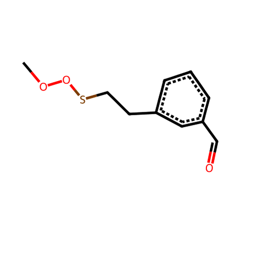 COOSCCc1cccc(C=O)c1